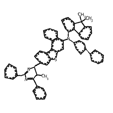 CC1C(c2ccccc2)=NC(c2ccccc2)=NC1c1ccc2c(c1)sc1cc(N(c3ccc(-c4ccccc4)cc3)c3cccc4c3-c3ccccc3C4(C)C)c3ccccc3c12